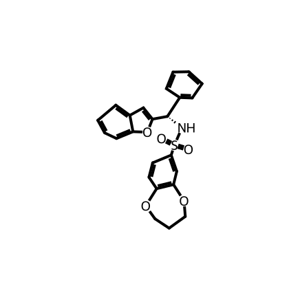 O=S(=O)(N[C@@H](c1ccccc1)c1cc2ccccc2o1)c1ccc2c(c1)OCCCO2